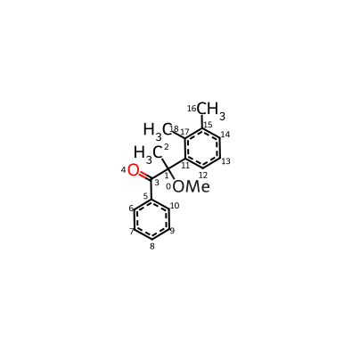 COC(C)(C(=O)c1ccccc1)c1cccc(C)c1C